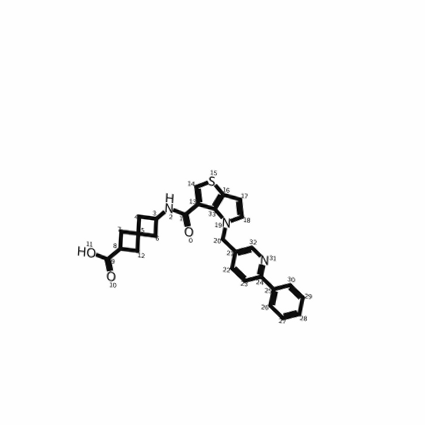 O=C(NC1CC2(C1)CC(C(=O)O)C2)c1csc2ccn(Cc3ccc(-c4ccccc4)nc3)c12